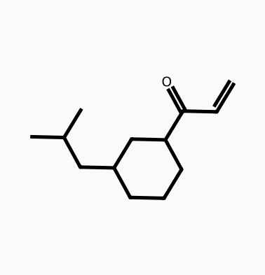 C=CC(=O)C1CCCC(CC(C)C)C1